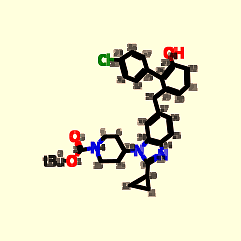 CC(C)(C)OC(=O)N1CCC(n2c(C3CC3)nc3ccc(Cc4cccc(O)c4-c4ccc(Cl)cc4)cc32)CC1